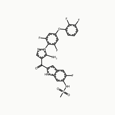 CS(=O)(=O)Nc1cc2[nH]c(C(=O)c3cnn(-c4c(F)cc(Oc5cccc(F)c5F)cc4F)c3N)cc2cc1F